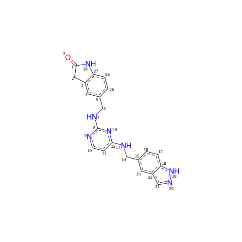 O=C1Cc2cc(CNc3nccc(NCc4ccc5[nH]ncc5c4)n3)ccc2N1